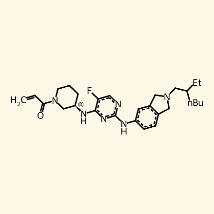 C=CC(=O)N1CCC[C@@H](Nc2nc(Nc3ccc4c(c3)CN(CC(CC)CCCC)C4)ncc2F)C1